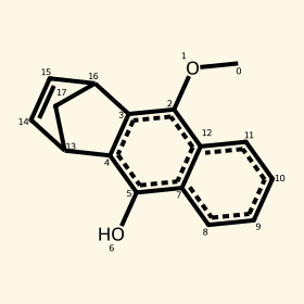 COc1c2c(c(O)c3ccccc13)C1C=CC2C1